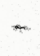 CC(C#CC1=C(C)CC(O)CC1(C)C)=CC=CC(C)=CC(=O)O